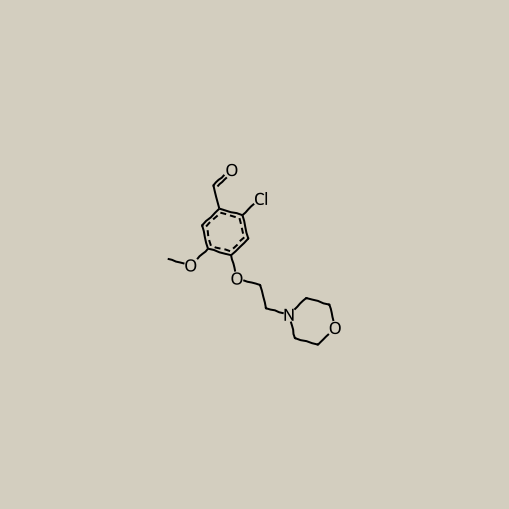 COc1cc(C=O)c(Cl)cc1OCCN1CCOCC1